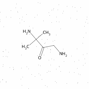 CC(C)(N)C(=O)CN